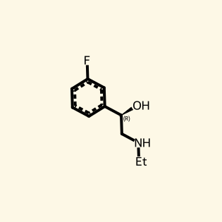 CCNC[C@H](O)c1cccc(F)c1